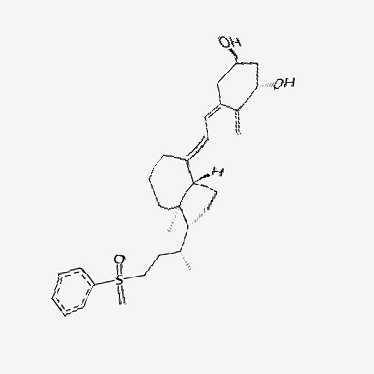 C=C1/C(=C\C=C2/CCC[C@]3(C)[C@@H]([C@H](C)CCS(=C)(=O)c4ccccc4)CC[C@@H]23)C[C@@H](O)C[C@@H]1O